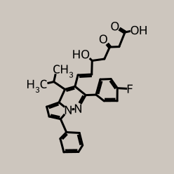 CC(C)c1c(C=CC(O)CC(=O)CC(=O)O)c(-c2ccc(F)cc2)nn2c(-c3ccccc3)ccc12